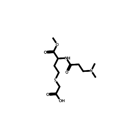 COC(=O)C(CCSCC(=O)O)NC(=O)CCN(C)C